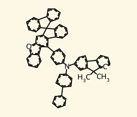 CC1(C)c2ccccc2-c2ccc(N(c3ccc(-c4ccccc4)cc3)c3ccc(-c4c5c(cc6oc7ccccc7c46)C4(c6ccccc6-c6ccccc64)c4ccccc4-5)cc3)cc21